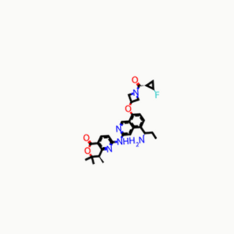 CC[C@H](N)c1ccc(OC2CN(C(=O)[C@@H]3C[C@@H]3F)C2)c2cnc(Nc3ccc4c(n3)[C@@H](C)C(C)(C)OC4=O)cc12